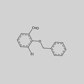 CCc1cccc(C=O)c1OCc1ccccc1